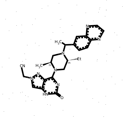 CC[C@@H]1CN(c2nc(=O)[nH]c3cn(CC#N)nc23)[C@@H](C)CN1C(C)c1ccc2nccnc2c1